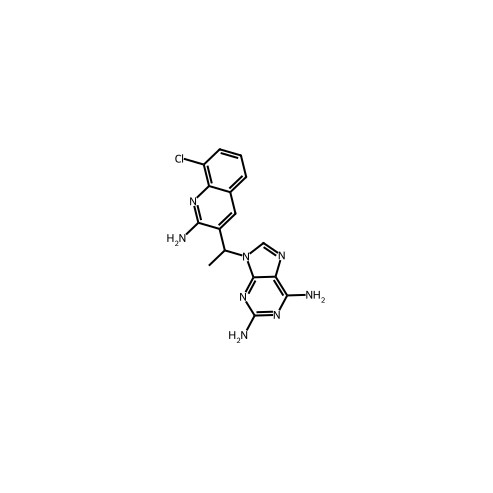 CC(c1cc2cccc(Cl)c2nc1N)n1cnc2c(N)nc(N)nc21